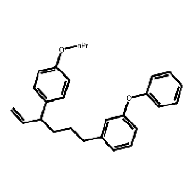 C=CC(CCCc1cccc(Oc2ccccc2)c1)c1ccc(OCCC)cc1